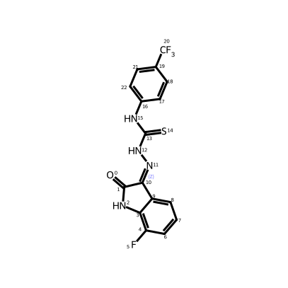 O=C1Nc2c(F)cccc2/C1=N/NC(=S)Nc1ccc(C(F)(F)F)cc1